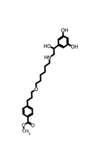 COC(=O)c1ccc(CCCOCCCCCCNCC(O)c2cc(O)cc(O)c2)cc1